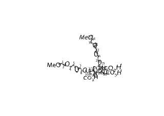 COCCOCCOCCOCC(C)(C)C(C(=O)O)N(CCN(CC(=O)O)C(C(=O)O)C(C)(C)COCCOCCOCCOC)CC(=O)O